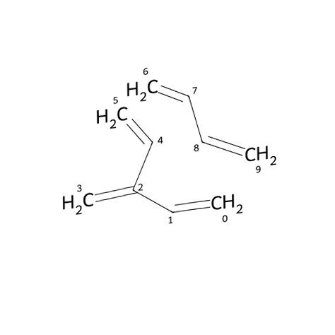 C=CC(=C)C=C.C=CC=C